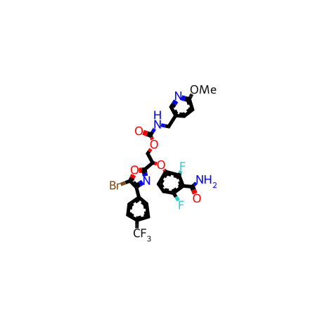 COc1ccc(CNC(=O)OCC(Oc2ccc(F)c(C(N)=O)c2F)c2nc(-c3ccc(C(F)(F)F)cc3)c(Br)o2)cn1